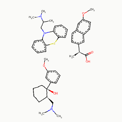 CC(CN1c2ccccc2Sc2ccccc21)N(C)C.COc1ccc2cc([C@H](C)C(=O)O)ccc2c1.COc1cccc([C@@]2(O)CCCC[C@@H]2CN(C)C)c1